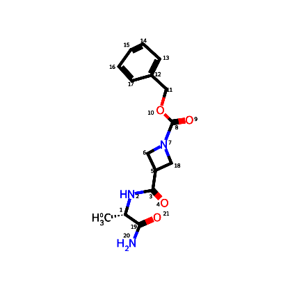 C[C@H](NC(=O)C1CN(C(=O)OCc2ccccc2)C1)C(N)=O